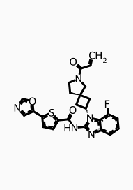 C=CC(=O)N1CC[C@]2(C1)C[C@@H](n1c(NC(=O)c3ccc(-c4cnco4)s3)nc3cccc(F)c31)C2